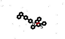 c1ccc(N(c2ccc(-c3ccc(-c4cccc5ccccc45)cc3)cc2)c2ccc3ccccc3c2)c(-c2ccc3c(c2)sc2ccccc23)c1